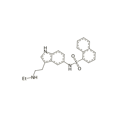 CCNCCc1c[nH]c2ccc(NS(=O)(=O)c3cccc4ccccc34)cc12